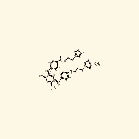 C[n+]1ccn(CCCNc2ccc(/N=C3\C=C(Nc4ccc(NCCCn5ccnc5)cc4)C(=O)C=C3N)cc2)c1